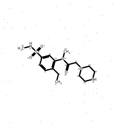 CCc1ccc(S(=O)(=O)NC)cc1N(C)C(=O)CN1CCNCC1